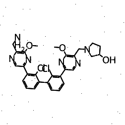 COc1nc(-c2cccc(-c3cccc(-c4cnc(CN5CCC(O)C5)c(OC)n4)c3Cl)c2Cl)cnc1CN